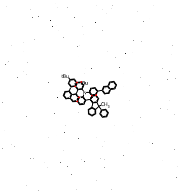 CC(C)(C)c1cc(-c2cccc3cccc(-c4ccccc4N(c4ccc(-c5ccc6ccccc6c5)cc4)c4ccccc4-c4cccc5c4-c4ccccc4C5(C)c4ccccc4)c23)cc(C(C)(C)C)c1